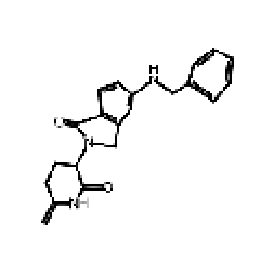 C=C1CCC(N2Cc3cc(NCc4ccccc4)ccc3C2=O)C(=O)N1